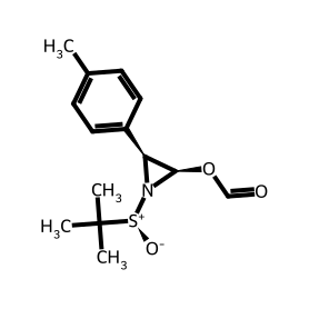 Cc1ccc([C@H]2[C@@H](OC=O)N2[S@@+]([O-])C(C)(C)C)cc1